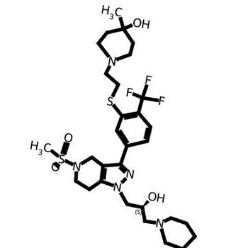 CC1(O)CCN(CCSc2cc(-c3nn(C[C@@H](O)CN4CCCCC4)c4c3CN(S(C)(=O)=O)CC4)ccc2C(F)(F)F)CC1